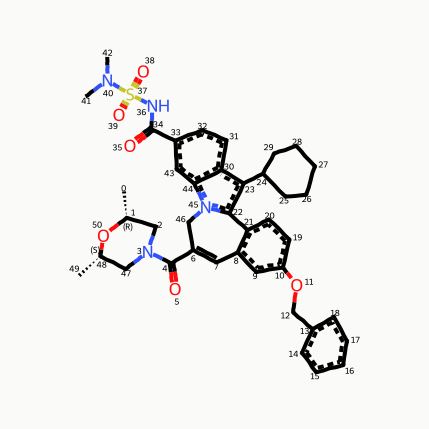 C[C@@H]1CN(C(=O)C2=Cc3cc(OCc4ccccc4)ccc3-c3c(C4CCCCC4)c4ccc(C(=O)NS(=O)(=O)N(C)C)cc4n3C2)C[C@H](C)O1